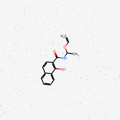 C=COC(C)NC(=O)c1ccc2ccccc2c1O